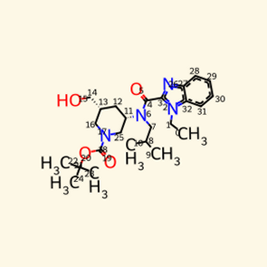 CCn1c(C(=O)N(CC(C)C)[C@H]2C[C@@H](CO)CN(C(=O)OC(C)(C)C)C2)nc2ccccc21